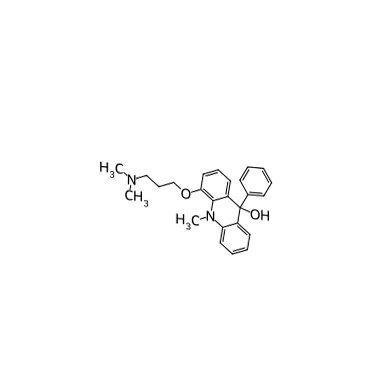 CN(C)CCCOc1cccc2c1N(C)c1ccccc1C2(O)c1ccccc1